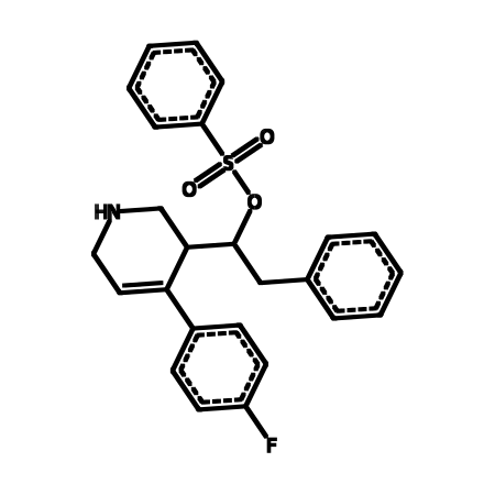 O=S(=O)(OC(Cc1ccccc1)C1CNCC=C1c1ccc(F)cc1)c1ccccc1